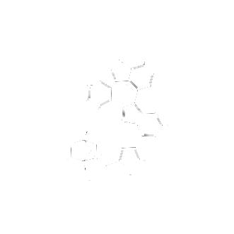 c1cc(-c2c(-c3ccncc3)nn3c(-c4coc(CN5C[C@@H]6C[C@H]5CO6)c4)ccnc23)c2cn[nH]c2c1